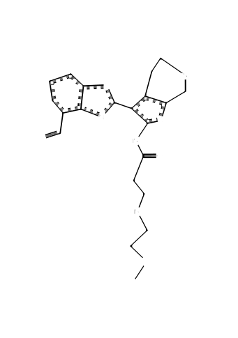 C=Cc1cccc2sc(-c3c(NC(=O)CCNCCOC)sc4c3CCNC4)nc12